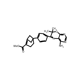 COC(=O)C1=C2CC(c3ccc(C4=Nc5c(N)ncnc5OC4(C)C)cc3)(CC1)C2